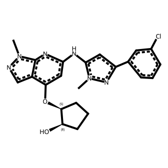 Cn1nc(-c2cccc(Cl)c2)cc1Nc1cc(O[C@H]2CCC[C@H]2O)c2cnn(C)c2n1